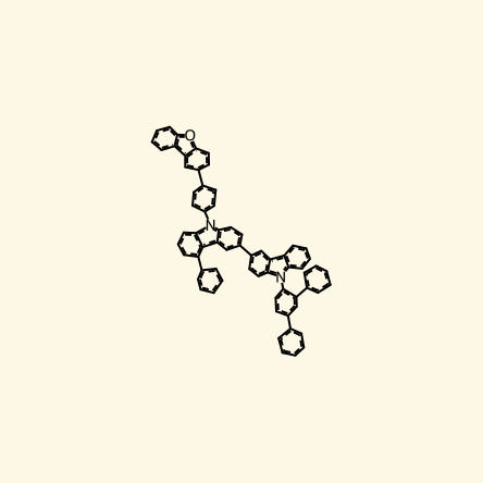 c1ccc(-c2ccc(-n3c4ccccc4c4cc(-c5ccc6c(c5)c5c(-c7ccccc7)cccc5n6-c5ccc(-c6ccc7oc8ccccc8c7c6)cc5)ccc43)c(-c3ccccc3)c2)cc1